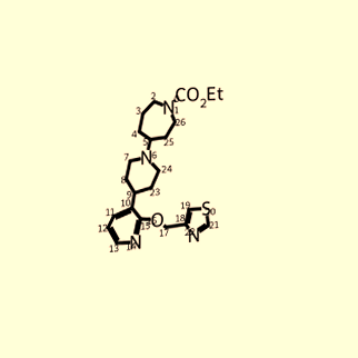 CCOC(=O)N1CCCC(N2CCC(c3cccnc3OCc3cscn3)CC2)CC1